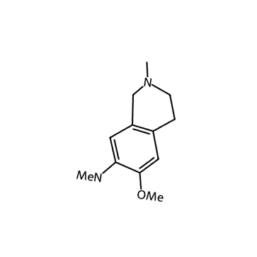 CNc1cc2c(cc1OC)CCN(C)C2